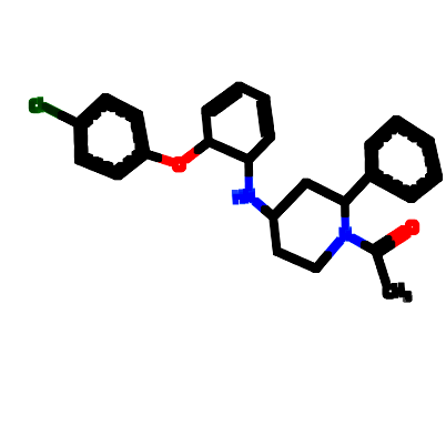 CC(=O)N1CCC(NC2C=CC=CC2Oc2ccc(Cl)cc2)CC1c1ccccc1